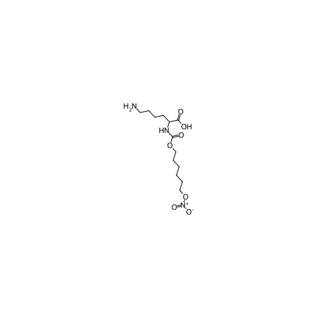 NCCCCC(NC(=O)OCCCCCCO[N+](=O)[O-])C(=O)O